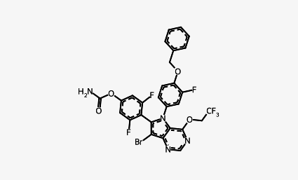 NC(=O)Oc1cc(F)c(-c2c(Br)c3ncnc(OCC(F)(F)F)c3n2-c2ccc(OCc3ccccc3)c(F)c2)c(F)c1